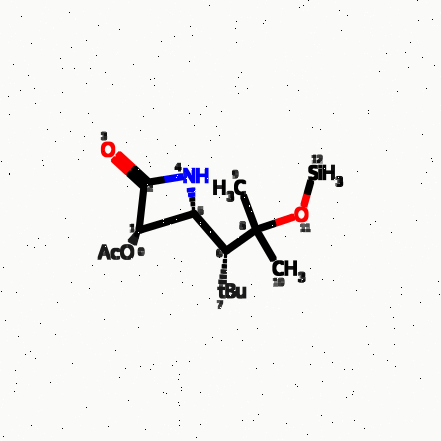 CC(=O)O[C@H]1C(=O)N[C@@H]1[C@@H](C(C)(C)C)C(C)(C)O[SiH3]